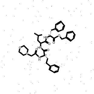 CC(C)CC(NC(=O)[C@H](CCc1ccccc1)NC(=O)CN1CCOCC1)C(=O)N[C@H](Cc1ccccc1)C(=O)OCc1ccccc1